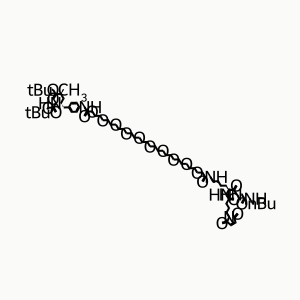 CCCCNC(=O)CNC(=O)[C@H](CCCCNC(=O)COCCOCCOCCOCCOCCOCCOCCOCCOCCOC(=O)Nc1ccc(C[C@@H](C[C@H](C)C(=O)OC(C)(C)C)NC(=O)OC(C)(C)C)cc1)NC(=O)CCCN1C(=O)C=CC1=O